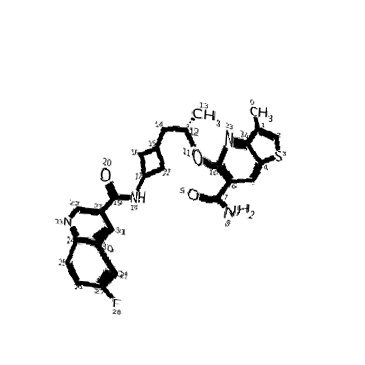 Cc1csc2cc(C(N)=O)c(O[C@@H](C)CC3CC(NC(=O)c4cnc5ccc(F)cc5c4)C3)nc12